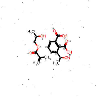 C=C(C)C(=O)OCC(C)O.CC(O)c1cccc(C(=O)O)c1C(=O)O